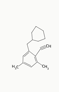 C#Cc1c(C)cc(C)cc1CC1CCCCC1